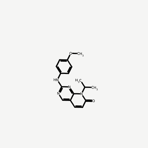 COc1ccc(Nc2ncc3ccc(=O)n(C(C)C)c3n2)cc1